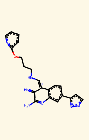 N=C1C(N)=Nc2cc(-c3cc[nH]n3)ccc2/C1=C/NCCCOc1ccccn1